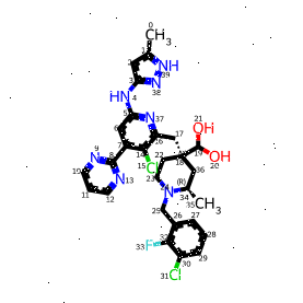 Cc1cc(Nc2cc(-c3ncccn3)c(Cl)c(C[C@@]3(C(O)O)CCN(Cc4cccc(Cl)c4F)[C@H](C)C3)n2)n[nH]1